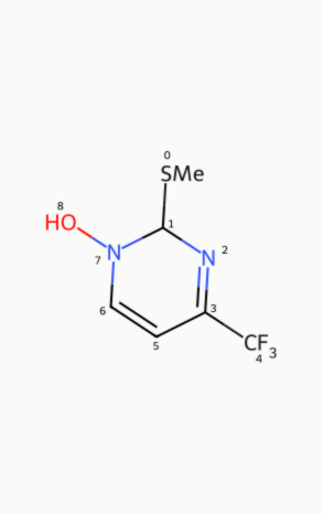 CSC1N=C(C(F)(F)F)C=CN1O